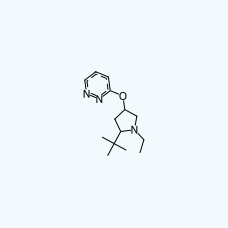 CCN1CC(Oc2cccnn2)CC1C(C)(C)C